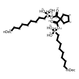 CCCCCCCCCCCCCCCCCC[PH](O)(O)OC(=O)C1(C(=O)O[PH](O)(O)CCCCCCCCCCCCCCCCCC)CCCC1